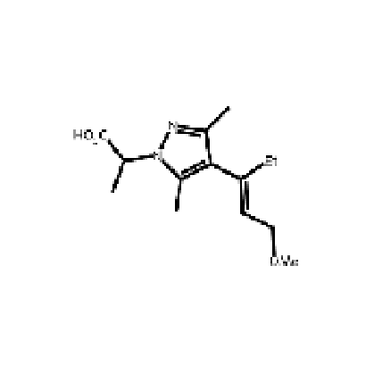 CC/C(=C\COC)c1c(C)nn(C(C)C(=O)O)c1C